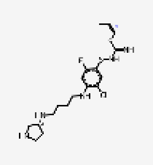 C/C=C\SC(=N)NSc1cc(Cl)c(NCCCCN[C@@H]2CCNC2)cc1F